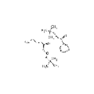 CC(C)(C)OOC(=O)c1ccccc1.CCCCC(=O)OOOC(C)(C)C